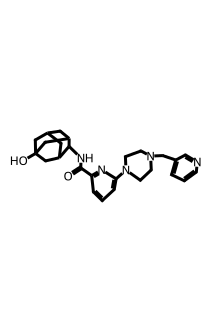 O=C(NC1C2CC3CC1CC(O)(C3)C2)c1cccc(N2CCN(Cc3cccnc3)CC2)n1